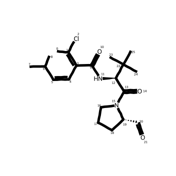 C/C(Cl)=C(\C=C/C(C)C)C(=O)N[C@H](C(=O)N1CCC[C@H]1C=O)C(C)(C)C